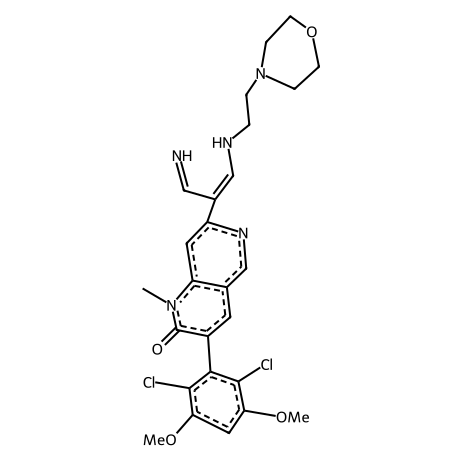 COc1cc(OC)c(Cl)c(-c2cc3cnc(/C(C=N)=C/NCCN4CCOCC4)cc3n(C)c2=O)c1Cl